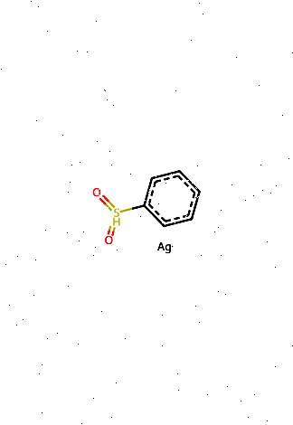 O=[SH](=O)c1ccccc1.[Ag]